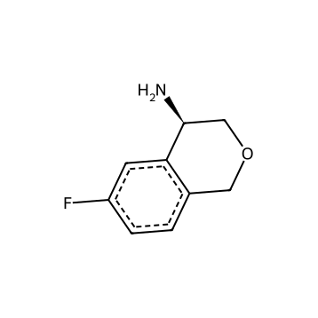 N[C@H]1COCc2ccc(F)cc21